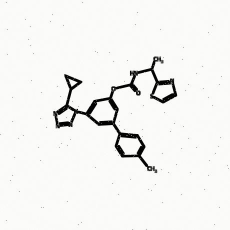 Cc1ccc(-c2cc(OC(=O)NC(C)c3nccs3)cc(-n3nnnc3C3CC3)c2)cc1